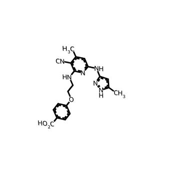 [C-]#[N+]c1c(C)cc(Nc2cc(C)[nH]n2)nc1NCCOc1ccc(C(=O)O)cc1